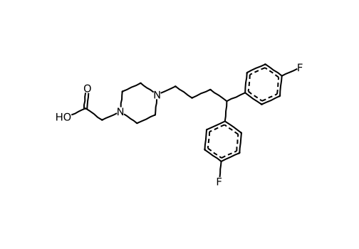 O=C(O)CN1CCN(CCCC(c2ccc(F)cc2)c2ccc(F)cc2)CC1